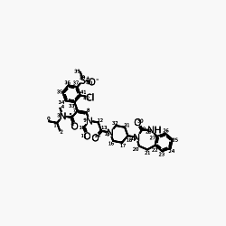 CC(C)N(C)C(=O)/C(=C\N(C=O)CC(=O)N1CCC(N2CCc3ccccc3NC2=O)CC1)c1cccc([S+](C)[O-])c1Cl